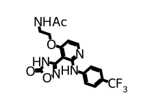 CC(=O)NCCOc1ccnc(Nc2ccc(C(F)(F)F)cc2)c1-c1noc(=O)[nH]1